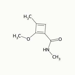 CNC(=O)C1=C(OC)C(C)=C1